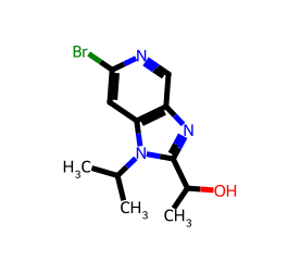 CC(O)c1nc2cnc(Br)cc2n1C(C)C